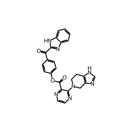 O=C(c1ccc(OC(=O)c2nccnc2N2CCc3[nH]cnc3C2)cc1)c1nc2ccccc2[nH]1